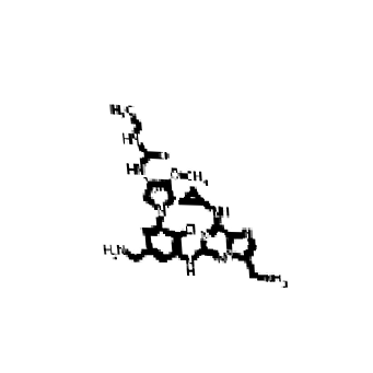 CCNC(=O)N[C@H]1CN(c2cc(CN)cc(Nc3nc(NC4CC4)c4ncc(CN)n4n3)c2Cl)C[C@H]1OC